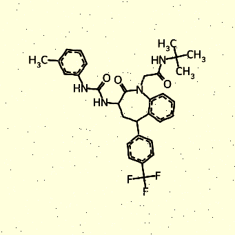 Cc1cccc(NC(=O)NC2CC(c3ccc(C(F)(F)F)cc3)c3ccccc3N(CC(=O)NC(C)(C)C)C2=O)c1